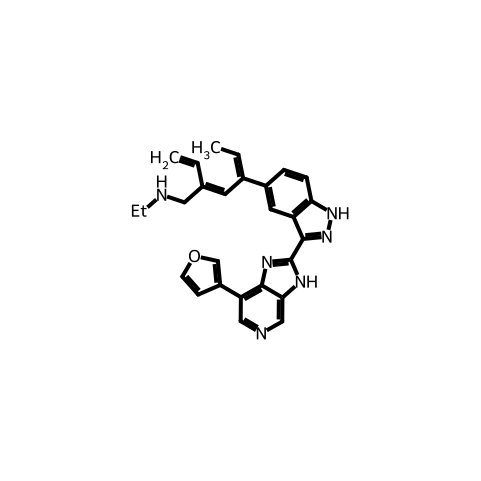 C=C/C(=C\C(=C/C)c1ccc2[nH]nc(-c3nc4c(-c5ccoc5)cncc4[nH]3)c2c1)CNCC